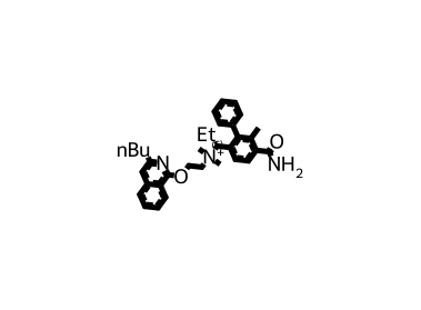 CCCCc1cc2ccccc2c(OCC[N+](C)(C)[C@@H](CC)c2ccc(C(N)=O)c(C)c2-c2ccccc2)n1